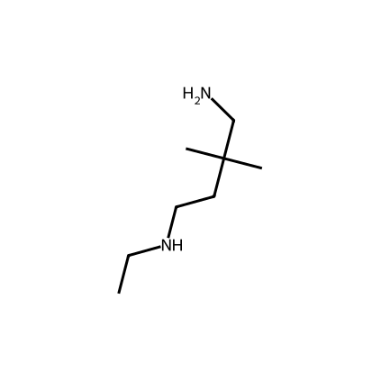 CCNCCC(C)(C)CN